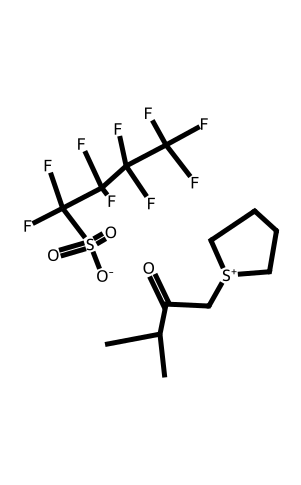 CC(C)C(=O)C[S+]1CCCC1.O=S(=O)([O-])C(F)(F)C(F)(F)C(F)(F)C(F)(F)F